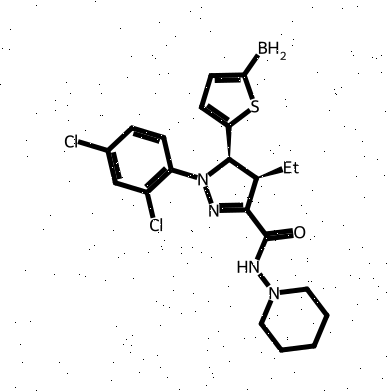 Bc1ccc([C@H]2[C@@H](CC)C(C(=O)NN3CCCCC3)=NN2c2ccc(Cl)cc2Cl)s1